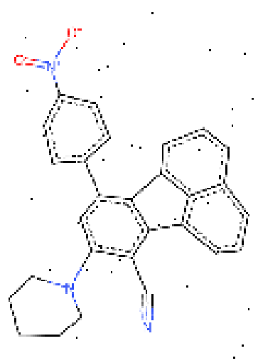 N#Cc1c(N2CCCCC2)cc(-c2ccc([N+](=O)[O-])cc2)c2c1-c1cccc3cccc-2c13